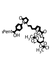 CCCCCC(O)c1ccc(N2C(=O)CC[C@@H]2CCCc2ccc(C(=O)OC[C@H]3OC(C)(C)O[C@@H]3[C@@H]3COC(C)(C)O3)s2)cc1